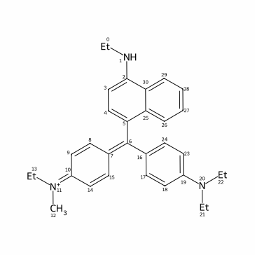 CCNc1ccc(C(=C2C=CC(=[N+](C)CC)C=C2)c2ccc(N(CC)CC)cc2)c2ccccc12